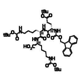 CC(C)(C)OC(=O)CC[C@H](NC(=O)OCC1c2ccccc2-c2ccccc21)C(=O)N[C@@H](CCCCNC(=O)OC(C)(C)C)C(=O)N[C@@H](CCCCNC(=O)OC(C)(C)C)C(=O)O